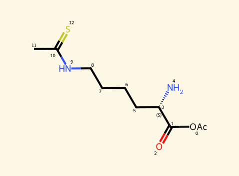 CC(=O)OC(=O)[C@@H](N)CCCCNC(C)=S